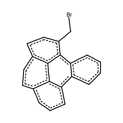 BrCc1ccc2ccc3cccc4c5ccccc5c1c2c34